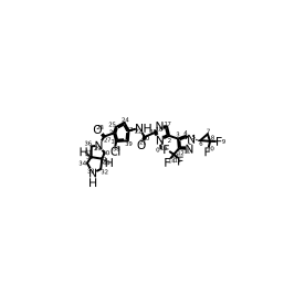 Cn1c(-c2cn([C@@H]3CC3(F)F)nc2C(F)(F)F)cnc1C(=O)Nc1ccc(C(=O)N2C[C@H]3CNC[C@@H]3C2)c(Cl)c1